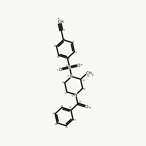 C#Cc1ccc(S(=O)(=O)N2CCN(C(=O)c3ccccc3)CC2C)cc1